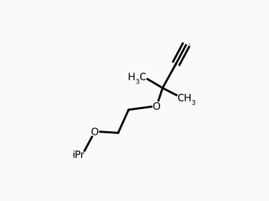 [C]#CC(C)(C)OCCOC(C)C